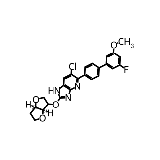 COc1cc(F)cc(-c2ccc(-c3nc4nc(OC5CO[C@@H]6CCO[C@H]56)[nH]c4cc3Cl)cc2)c1